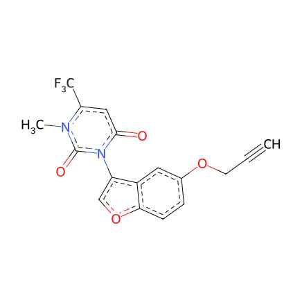 C#CCOc1ccc2occ(-n3c(=O)cc(C(F)(F)F)n(C)c3=O)c2c1